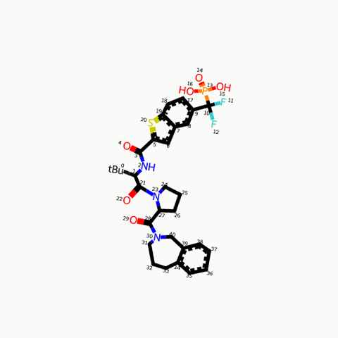 CC(C)(C)C(NC(=O)c1cc2cc(C(F)(F)P(=O)(O)O)ccc2s1)C(=O)N1CCCC1C(=O)N1CCCc2ccccc2C1